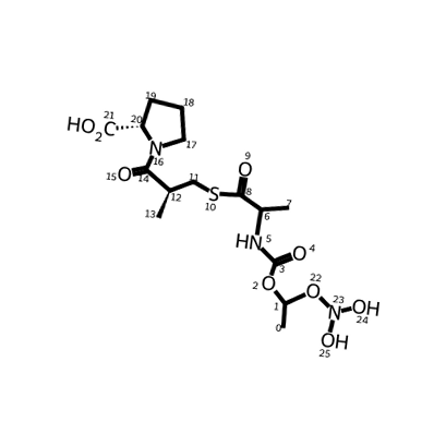 CC(OC(=O)NC(C)C(=O)SC[C@@H](C)C(=O)N1CCC[C@H]1C(=O)O)ON(O)O